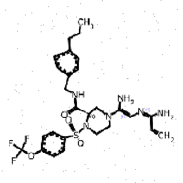 C=C/C(N)=N\C=C(/N)N1CCN(S(=O)(=O)c2ccc(OC(F)(F)F)cc2)[C@@H](C(=O)NCc2ccc(CCC)cc2)C1